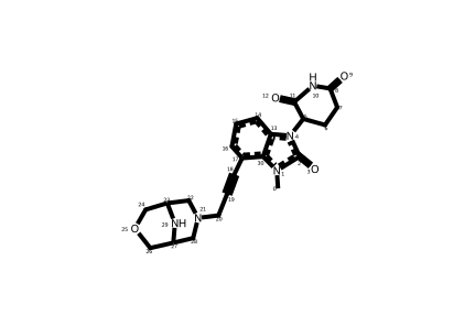 Cn1c(=O)n(C2CCC(=O)NC2=O)c2cccc(C#CCN3CC4COCC(C3)N4)c21